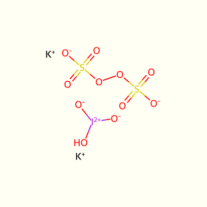 O=S(=O)([O-])OOS(=O)(=O)[O-].[K+].[K+].[O-][I+2]([O-])O